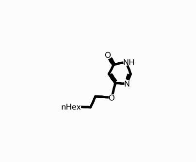 CCCCCCCCOc1cc(=O)[nH]cn1